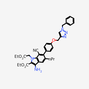 CCCc1cc2c(N)c(C(=O)OCC)n(CC(=O)OCC)c2c(C#N)c1-c1ccc(OCc2cn(Cc3ccccc3)nn2)cc1